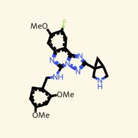 COc1ccc(CNc2nc3cc(OC)c(F)cc3c3nc(C45CNCC4C5)nn23)c(OC)c1